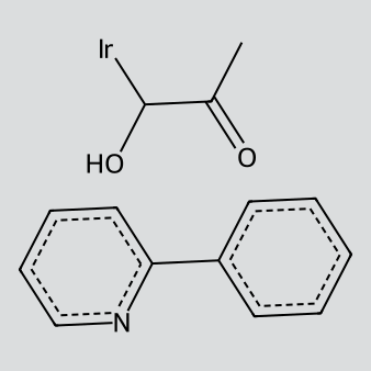 CC(=O)[CH](O)[Ir].c1ccc(-c2ccccn2)cc1